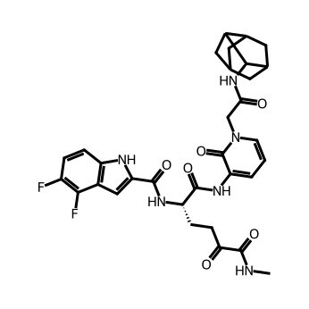 CNC(=O)C(=O)CC[C@H](NC(=O)c1cc2c(F)c(F)ccc2[nH]1)C(=O)Nc1cccn(CC(=O)NC2C3CC4CC(C3)C2C4)c1=O